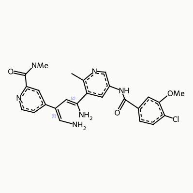 CNC(=O)c1cc(C(/C=C(\N)c2cc(NC(=O)c3ccc(Cl)c(OC)c3)cnc2C)=C/N)ccn1